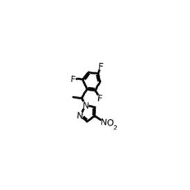 CC(c1c(F)cc(F)cc1F)n1cc([N+](=O)[O-])cn1